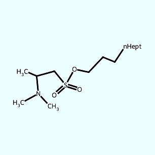 CCCCCCCCCCOS(=O)(=O)CC(C)N(C)C